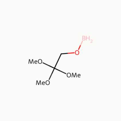 BOCC(OC)(OC)OC